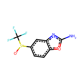 Nc1nc2cc([S+]([O-])C(F)(F)F)ccc2o1